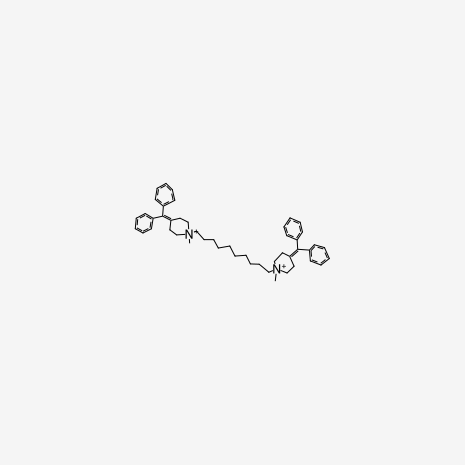 C[N+]1(CCCCCCCCCC[N+]2(C)CCC(=C(c3ccccc3)c3ccccc3)CC2)CCC(=C(c2ccccc2)c2ccccc2)CC1